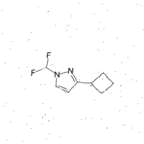 FC(F)n1ccc([C]2CCC2)n1